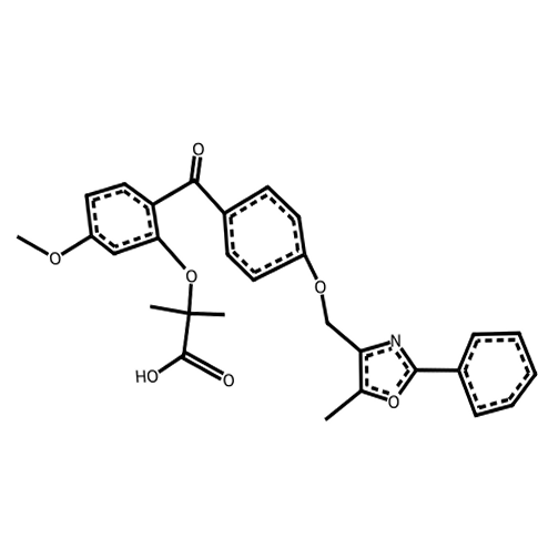 COc1ccc(C(=O)c2ccc(OCc3nc(-c4ccccc4)oc3C)cc2)c(OC(C)(C)C(=O)O)c1